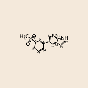 CS(=O)(=O)C1C=C(c2cnc3[nH]ccc3c2)C=CC1